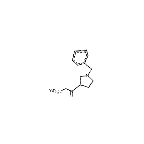 O=C(O)CNC1CCN(Cc2ccccc2)C1